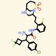 NC(C(=O)Nc1cccc(F)c1CCC1CNC2CCCS(=O)(=O)N1C2)C(c1ccc(Cl)cc1)C1CC(F)(F)C1